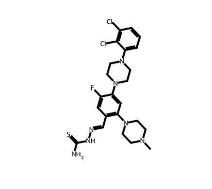 CN1CCN(c2cc(N3CCN(c4cccc(Cl)c4Cl)CC3)c(F)cc2C=NNC(N)=S)CC1